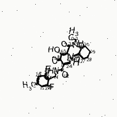 CCN1C(=O)c2c(O)c(=O)c(C(=O)NCc3c(F)cc(C)cc3F)cn2[C@@H]2CCCC[C@@H]21